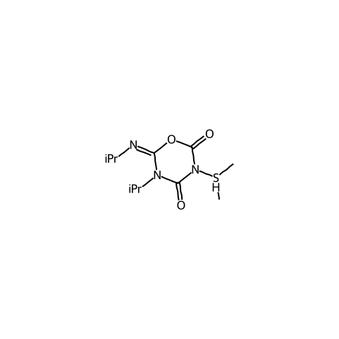 CC(C)/N=c1/oc(=O)n([SH](C)C)c(=O)n1C(C)C